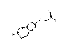 NC(=O)CSc1nc2cc(Cl)ccc2s1